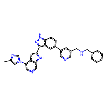 Cc1cn(-c2cncc3[nH]c(-c4n[nH]c5ccc(-c6cncc(CNCc7ccccc7)c6)cc45)cc23)cn1